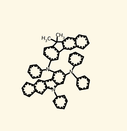 CC1(C)c2ccc(N(c3ccccc3)c3cc(N(c4ccccc4)c4ccccc4)cc4c3c3cc5ccccc5cc3n4-c3ccccc3)cc2-c2cc3ccccc3cc21